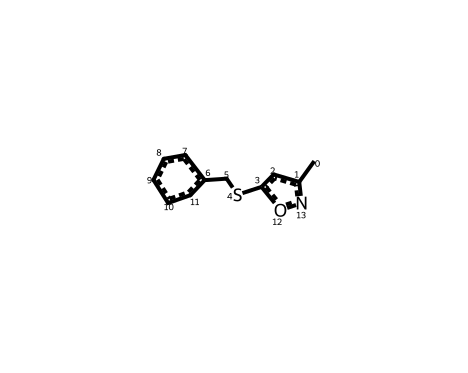 Cc1cc(SCc2ccccc2)on1